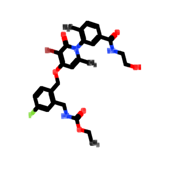 CCOC(=O)NCc1cc(F)ccc1COc1cc(C)n(-c2cc(C(=O)NCCO)ccc2C)c(=O)c1Br